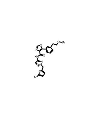 CC(=O)c1ccc(Cn2ncc(NC(=O)c3ncoc3-c3cccc(CCOC(C)C)c3)n2)o1